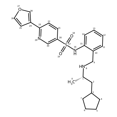 C[C@@H](CC1CCCC1)NCc1ccccc1NS(=O)(=O)c1ccc(-c2ccoc2)nc1